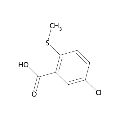 CSc1ccc(Cl)cc1C(=O)O